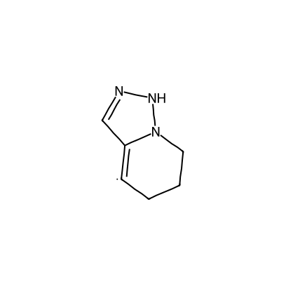 [C]1=C2C=NNN2CCC1